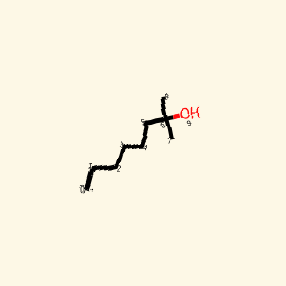 [CH2]CCCCCC(C)(C)O